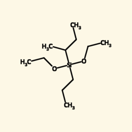 CCC[Si](OCC)(OCC)C(C)CC